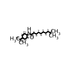 CC(C)CCCCCCCC(=O)NC1CCC(C(C)C)CC1